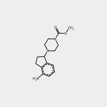 COC(=O)N1CCN(C2CCc3c(N)cccc32)CC1